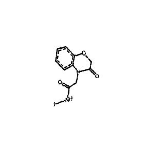 O=C(CN1C(=O)COc2ccccc21)NI